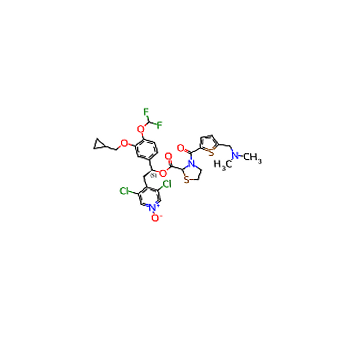 CN(C)Cc1ccc(C(=O)N2CCSC2C(=O)O[C@@H](Cc2c(Cl)c[n+]([O-])cc2Cl)c2ccc(OC(F)F)c(OCC3CC3)c2)s1